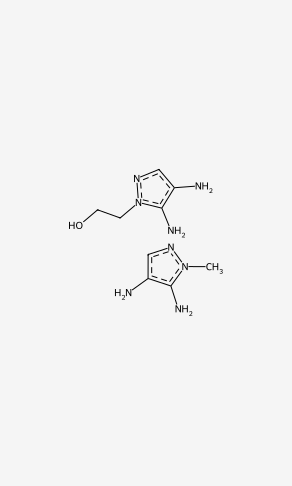 Cn1ncc(N)c1N.Nc1cnn(CCO)c1N